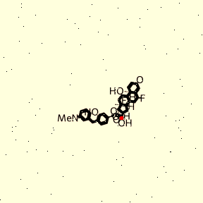 CNc1cccc(Cc2ccc([C@@H]3OC[C@@H]4C[C@H]5[C@@H]6C[C@H](F)C7=CC(=O)C=C[C@]7(C)[C@@]6(F)[C@@H](O)C[C@]5(C)[C@]4(C(=O)CO)O3)cc2O)c1